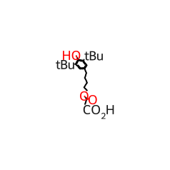 CC(C)(C)c1cc(CCCCCOC(=O)CC(=O)O)cc(C(C)(C)C)c1O